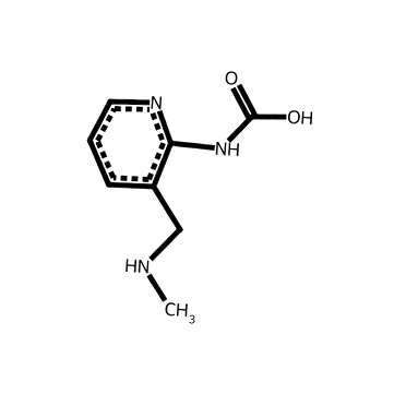 CNCc1cccnc1NC(=O)O